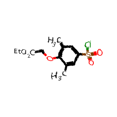 CCOC(=O)COc1c(C)cc(S(=O)(=O)Cl)cc1C